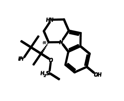 C[SiH2]OC(C)([C@@H]1CNCc2cc3cc(O)ccc3n21)C(C)(C)C(C)C